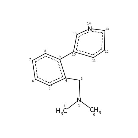 CN(C)Cc1[c]cccc1-c1cccnc1